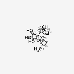 CCc1ccc(CC2=CC([C@@H]3O[C@H](CO)[C@@H](O)[C@H](O)[C@H]3O)C3OCC(C)(C)C3=C2Cl)cc1